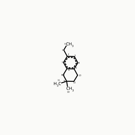 CCc1ccc2c(c1)[C]C(C)(C)CC2